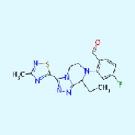 CCC1c2nnc(-c3nc(C)ns3)n2CCN1c1cc(F)ccc1C=O